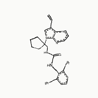 C=Cc1cn(C2(CNC(=O)Nc3c(C(C)C)cccc3C(C)C)CCCC2)c2ncccc12